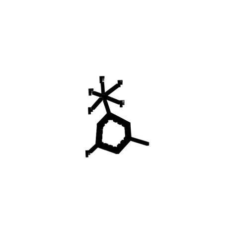 Cc1cc(F)cc(S(F)(F)(F)(F)F)c1